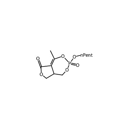 CCCCCOP1(=O)OCC2COC(=O)C2=C(C)O1